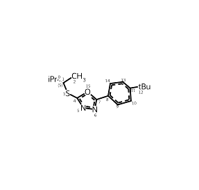 CC(C)[C@H](C)Sc1nnc(-c2ccc(C(C)(C)C)cc2)o1